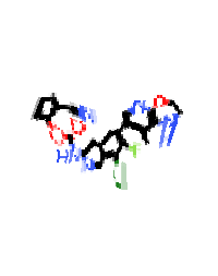 Cc1c(-c2cc3cc(NC(=O)OC4CCCC4C#N)ncc3c(Cl)c2F)cnc2c1NCCO2